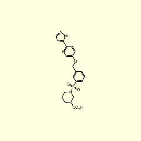 O=C(O)[C@H]1CCCN(S(=O)(=O)c2cccc(COc3ccc(-c4ccn[nH]4)nc3)c2)C1